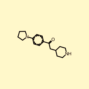 O=C(CC1CCNCC1)c1ccc(N2CCCC2)cc1